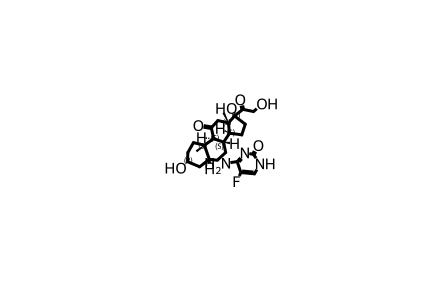 C[C@]12CC[C@@H](O)C[C@H]1CC[C@@H]1[C@@H]2C(=O)C[C@@]2(C)[C@H]1CC[C@]2(O)C(=O)CO.Nc1nc(=O)[nH]cc1F